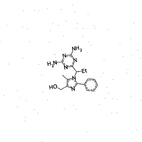 CCC(c1nc(N)nc(N)n1)n1c(-c2ccccc2)nc(CO)c1C